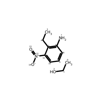 CCO.CCc1c(N)cccc1[N+](=O)[O-]